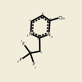 FC(F)(F)Cc1nccc(Cl)n1